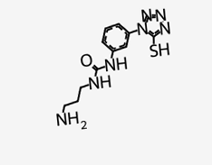 NCCCNC(=O)Nc1cccc(-n2nnnc2S)c1